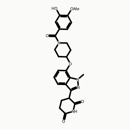 COc1ccc(C(=O)N2CCC(Oc3cccc4c(C5CCC(=O)NC5=O)nn(C)c34)CC2)cc1O